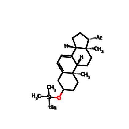 CC(=O)[C@H]1CC[C@H]2C3=CC=C4CC(O[Si](C)(C)C(C)(C)C)CC[C@]4(C)[C@H]3CC[C@]12C